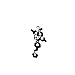 CC(=O)N1CCN([C@@H](CC(C)C)C(=O)N2CCC(CCN3CCCC3)CC2)C(=O)[C@@H]1CC(C)C